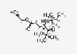 C#CCOC(=O)CC[C@@H](NC(C)(C)CC)C(=O)C(C)(C)C